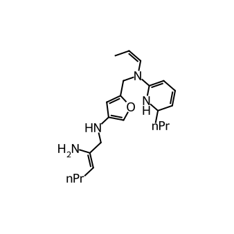 C/C=C\N(Cc1cc(NC/C(N)=C/CCC)co1)C1=CC=CC(CCC)N1